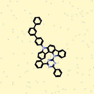 c1ccc(-c2cccc(-c3ccc(-n4c5ccccc5c5c4ccc4c6ccccc6n(-c6nc(-c7ccccc7)nc(-c7ccccc7)n6)c45)cc3)c2)cc1